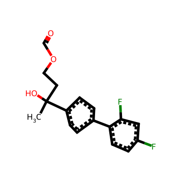 CC(O)(CCOC=O)c1ccc(-c2ccc(F)cc2F)cc1